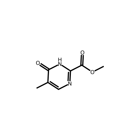 COC(=O)c1ncc(C)c(=O)[nH]1